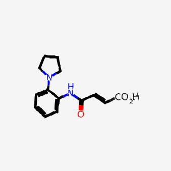 O=C(O)/C=C/C(=O)Nc1ccccc1N1CCCC1